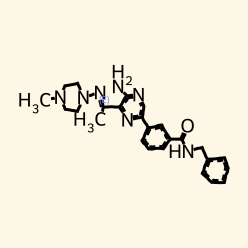 C/C(=N\N1CCN(C)CC1)c1nc(-c2cccc(C(=O)NCc3ccccc3)c2)cnc1N